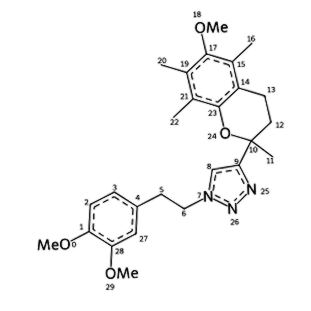 COc1ccc(CCn2cc(C3(C)CCc4c(C)c(OC)c(C)c(C)c4O3)nn2)cc1OC